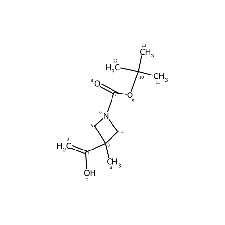 C=C(O)C1(C)CN(C(=O)OC(C)(C)C)C1